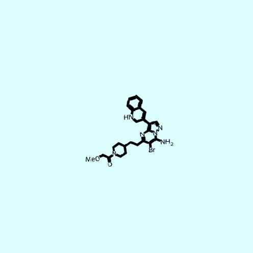 COCC(=O)N1CCC(CCc2nc3c(C4=Cc5ccccc5NC4)cnn3c(N)c2Br)CC1